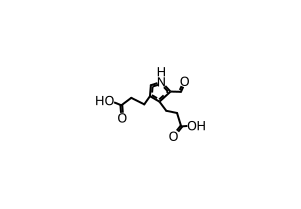 O=Cc1[nH]cc(CCC(=O)O)c1CCC(=O)O